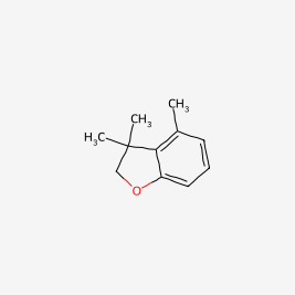 Cc1cccc2c1C(C)(C)CO2